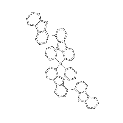 c1ccc([Si](c2ccccc2)(c2cccc3c2oc2c(-c4cccc5c4sc4ccccc45)cccc23)c2cccc3c2sc2c(-c4cccc5c4oc4ccccc45)cccc23)cc1